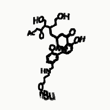 CCCCOCCCNCc1ccc(OC)c(-c2ccc(O)c3c2CC(CC(CCO)C(CO)C(=O)CC(C)=O)CC3=O)c1